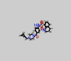 O=C(c1ccc(NS(=O)(=O)c2cccc3c2N=CCC3)cc1)N1CCN(CC2CC2)CC1